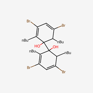 CCCCC1=C(Br)C=C(Br)C(CCCC)C1(O)C1(O)C(CCCC)=C(Br)C=C(Br)C1CCCC